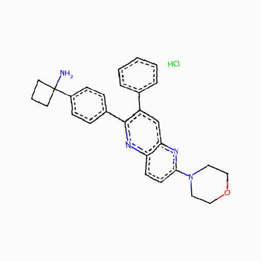 Cl.NC1(c2ccc(-c3nc4ccc(N5CCOCC5)nc4cc3-c3ccccc3)cc2)CCC1